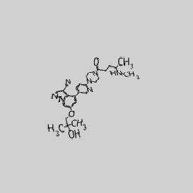 CNC(C)CCC(=O)N1CCN(c2ccc(-c3cc(OCC(C)(C)O)cn4ncc(C#N)c34)cn2)CC1